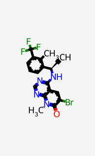 C#C[C@@H](Nc1ncnc2c1cc(Br)c(=O)n2C)c1cccc(C(F)(F)F)c1C